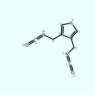 O=C=NCc1cscc1CN=C=O